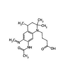 C=Nc1cc2c(cc1NC(C)=O)N(CCCC(=O)O)C(C)(C)CC2C